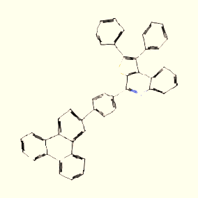 c1ccc(-c2sc3c(-c4ccc(-c5ccc6c7ccccc7c7ccccc7c6c5)cc4)nc4ccccc4c3c2-c2ccccc2)cc1